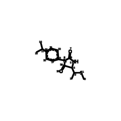 CSC(C)C1NC(=O)N(c2ccc(C(C)C)cc2)C1=O